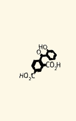 O=C(O)c1ccc(C(=O)c2ccccc2O)c(C(=O)O)c1